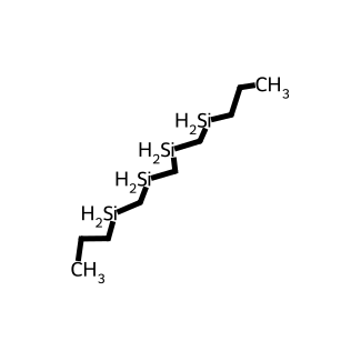 CCC[SiH2]C[SiH2]C[SiH2]C[SiH2]CCC